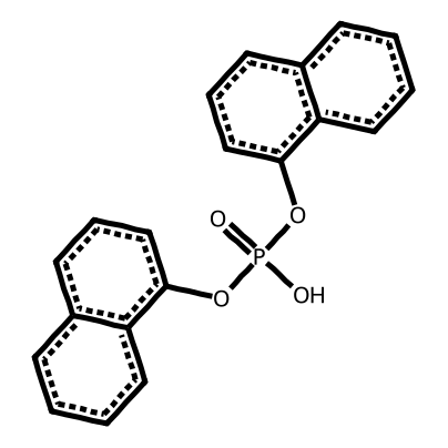 O=P(O)(Oc1cccc2ccccc12)Oc1cccc2ccccc12